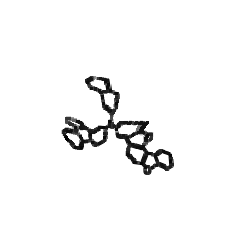 c1ccc2cc(N(c3ccc4c(c3)oc3ccccc34)c3ccc4oc5c(ccc6oc7ccccc7c65)c4c3)ccc2c1